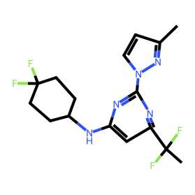 Cc1ccn(-c2nc(NC3CCC(F)(F)CC3)cc(C(C)(F)F)n2)n1